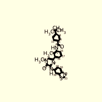 Cc1c(NC(=O)c2ccc(C(C)(C)C)cc2)cccc1-c1cn(C)c(=O)c(Nc2ccc3ncsc3c2)n1